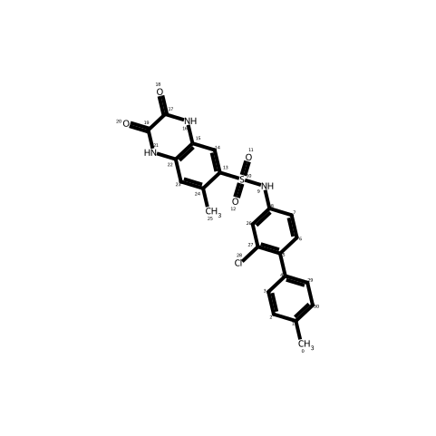 Cc1ccc(-c2ccc(NS(=O)(=O)c3cc4[nH]c(=O)c(=O)[nH]c4cc3C)cc2Cl)cc1